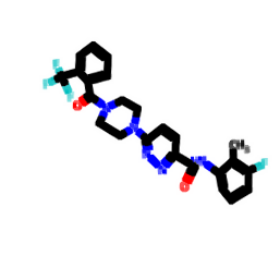 Cc1c(F)cccc1NC(=O)c1ccc(N2CCN(C(=O)c3ccccc3C(F)(F)F)CC2)nn1